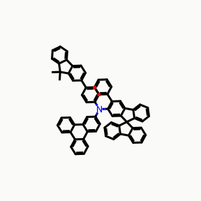 CC1(C)c2ccccc2-c2ccc(-c3ccc(N(c4ccc5c6ccccc6c6ccccc6c5c4)c4cc5c(cc4-c4ccccc4)-c4ccccc4C54c5ccccc5-c5ccccc54)cc3)cc21